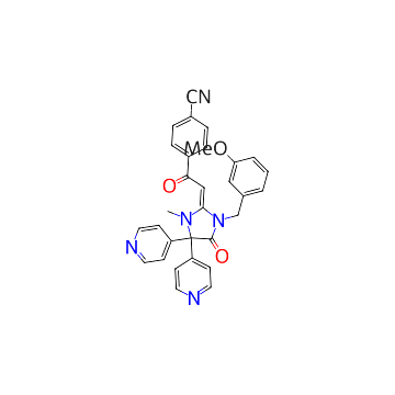 COc1cccc(CN2C(=O)C(c3ccncc3)(c3ccncc3)N(C)C2=CC(=O)c2ccc(C#N)cc2)c1